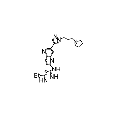 CCC(=N)SC(=N)Nc1ccc2ncc(-c3cnn(CCCN4CCCC4)c3)cc2n1